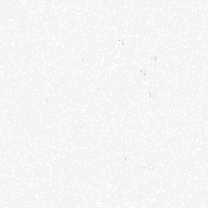 Cn1ncnc1-c1ncc(F)c(OC2CN(C=O)C2)n1